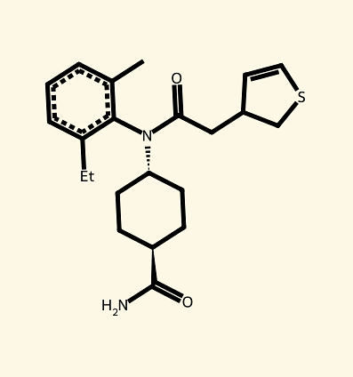 CCc1cccc(C)c1N(C(=O)CC1C=CSC1)[C@H]1CC[C@H](C(N)=O)CC1